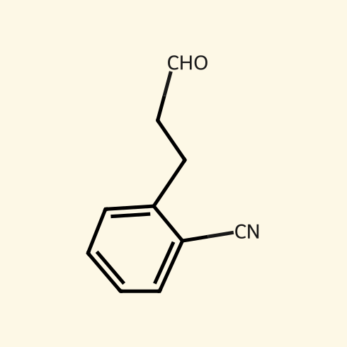 N#Cc1ccccc1CCC=O